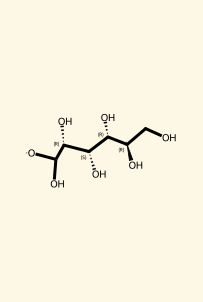 [O]C(O)[C@H](O)[C@@H](O)[C@H](O)[C@H](O)CO